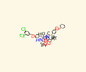 CC(C)CC(NC(Cc1ccc(OCc2cc(Cl)cc(Cl)c2)cc1)C(=O)O)C(=O)OC(=O)C(CC(C)C)NC(Cc1ccc(OCC2CCCCC2)cc1)C(=O)O